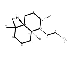 CC[C@@H](C)CC[C@H]1[C@@H](C)CC[C@H]2C(C)(C)CCC[C@]12C